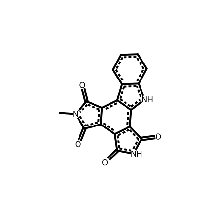 Cn1c(=O)c2c3c(=O)[nH]c(=O)c3c3[nH]c4ccccc4c3c2c1=O